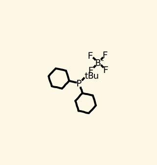 CC(C)(C)P(C1CCCCC1)C1CCCCC1.F[B-](F)(F)F